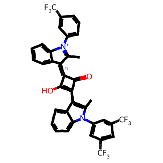 CC1=[N+](c2cccc(C(F)(F)F)c2)c2ccccc2/C1=C1/C(=O)C(c2c(C)n(-c3cc(C(F)(F)F)cc(C(F)(F)F)c3)c3ccccc23)=C1O